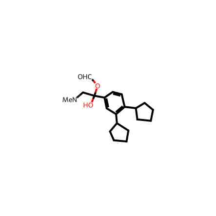 CNCC(O)(OC=O)c1ccc(C2CCCC2)c(C2CCCC2)c1